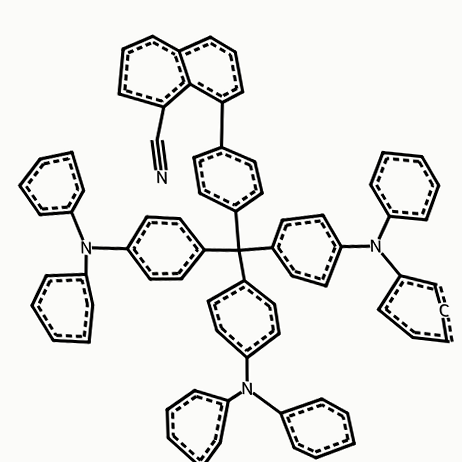 N#Cc1cccc2cccc(-c3ccc(C(c4ccc(N(c5ccccc5)c5ccccc5)cc4)(c4ccc(N(c5ccccc5)c5ccccc5)cc4)c4ccc(N(c5ccccc5)c5ccccc5)cc4)cc3)c12